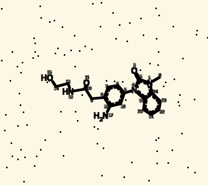 Cn1c(=O)n(-c2ccc(CC(=O)NCCO)c(N)c2)c2ccccc21